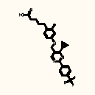 Cc1cc(OCc2cnc(-c3ccc(C(F)(F)F)cc3)nc2C2CC2)ccc1CCCCC(=O)O